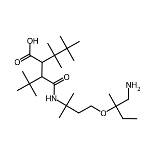 CCC(C)(CN)OCCC(C)(C)NC(=O)C(C(C(=O)O)C(C)(C)C(C)(C)C)C(C)(C)C